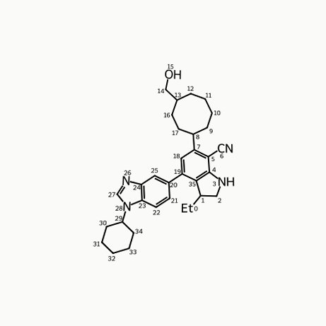 CCC1CNc2c(C#N)c(C3CCCCC(CO)CC3)cc(-c3ccc4c(c3)ncn4C3CCCCC3)c21